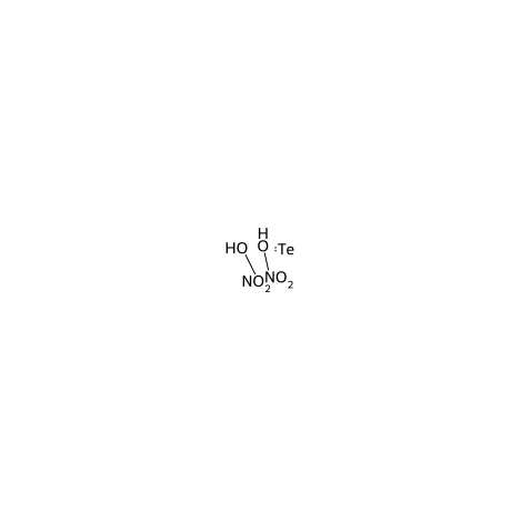 O=[N+]([O-])O.O=[N+]([O-])O.[Te]